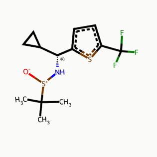 CC(C)(C)[S+]([O-])N[C@@H](c1ccc(C(F)(F)F)s1)C1CC1